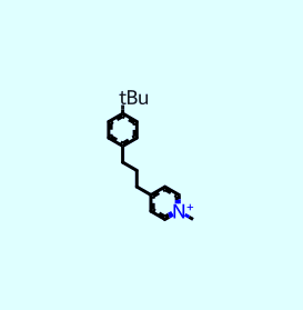 C[n+]1ccc(CCCc2ccc(C(C)(C)C)cc2)cc1